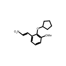 COc1cccc(/C=C/[N+](=O)[O-])c1OC1CCCC1